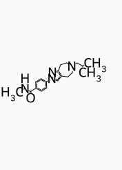 CNC(=O)c1ccc(-n2cc3c(n2)CCN(CC(C)C)CC3)cc1